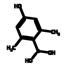 Cc1cc(O)cc(C)c1B(O)O